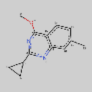 COc1nc(C2CC2)nc2cc(C)ccc12